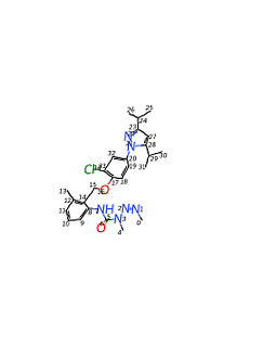 C/N=N\N(C)C(=O)Nc1cccc(C)c1COc1ccc(-n2nc(C(C)C)cc2C(C)C)cc1Cl